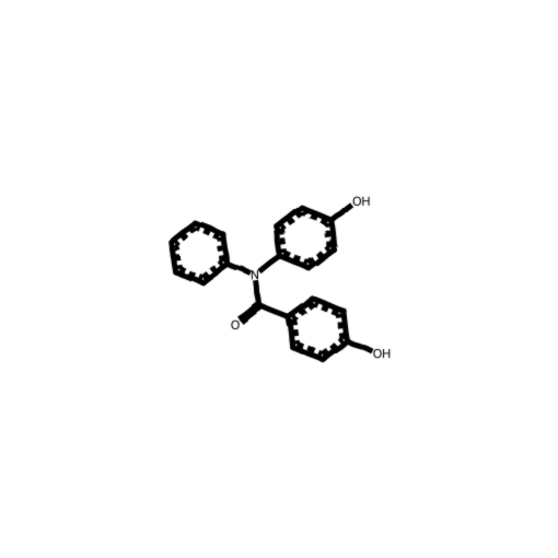 O=C(c1ccc(O)cc1)N(c1ccccc1)c1ccc(O)cc1